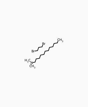 BrCCCBr.CCCCCCCCCCCCN(C)C